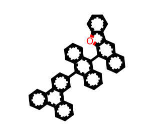 c1ccc2c(-c3c4ccccc4c(-c4ccc5c6ccccc6c6ccccc6c5c4)c4ccccc34)c3oc4ccccc4c3cc2c1